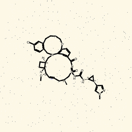 CO[C@H]1/C=C/C[C@H](C)CS(=O)(NC(=O)N[C@@H]2C[C@H]2c2cnn(C)c2)=NC(=O)c2ccc3c(c2)N(Cc2ccc(Cl)cc2CCCCO3)C[C@@H]2CC[C@H]21